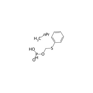 CCCC.O=[PH](O)OCSc1ccccc1